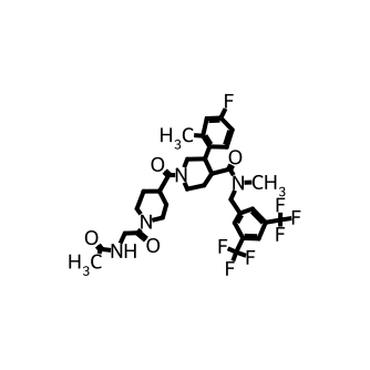 CC(=O)NCC(=O)N1CCC(C(=O)N2CCC(C(=O)N(C)Cc3cc(C(F)(F)F)cc(C(F)(F)F)c3)C(c3ccc(F)cc3C)C2)CC1